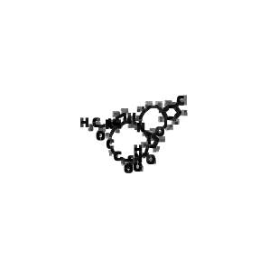 CC(=O)N[C@H]1CCCCCS(=O)(=O)NC(=O)c2ccc3c(c2)N(CCCCc2cc(Cl)ccc2CO3)C[C@@H]2CC[C@H]21